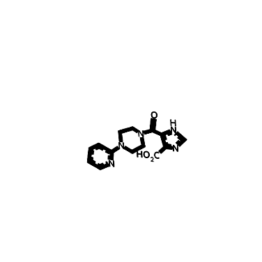 O=C(O)c1nc[nH]c1C(=O)N1CCN(c2ccccn2)CC1